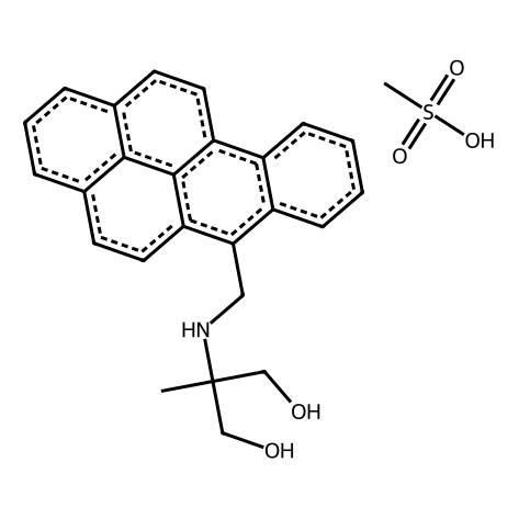 CC(CO)(CO)NCc1c2ccccc2c2ccc3cccc4ccc1c2c43.CS(=O)(=O)O